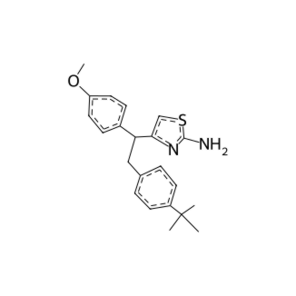 COc1ccc(C(Cc2ccc(C(C)(C)C)cc2)c2csc(N)n2)cc1